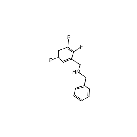 Fc1cc(F)c(F)c(CNCc2ccccc2)c1